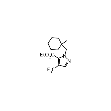 CCOC(=O)c1c(C(F)(F)F)cnn1CC1(C)CCCCC1